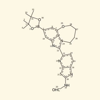 CC1(C)OB(c2cc3c4c(c2)nc(-c2ccc5nc(NC=O)sc5n2)n4CCCCO3)OC1(C)C